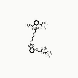 CC(C)c1cccc(C(C)C)c1NC(=O)CCCCCSc1nc2cccc(OCC(=O)OC(C)(C)C)c2o1